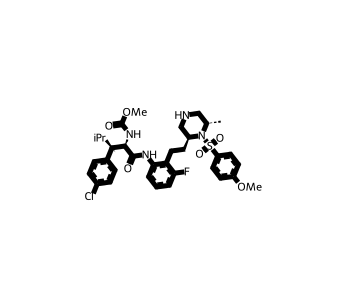 COC(=O)N[C@H](C(=O)Nc1cccc(F)c1CC[C@H]1CNC[C@H](C)N1S(=O)(=O)c1ccc(OC)cc1)[C@@H](c1ccc(Cl)cc1)C(C)C